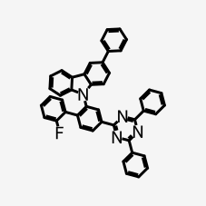 Fc1ccccc1-c1ccc(-c2nc(-c3ccccc3)nc(-c3ccccc3)n2)cc1-n1c2ccccc2c2cc(-c3ccccc3)ccc21